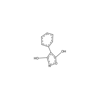 Oc1noc(O)c1-c1ccccc1